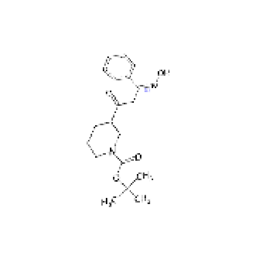 CC(C)(C)OC(=O)N1CCCC(C(=O)C/C(=N/O)c2ccccc2)C1